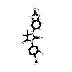 [C-]#[N+]c1ccc(N2C(=O)C(C)(C)N(c3ccc4sc(N)nc4c3)C2=S)cc1Cl